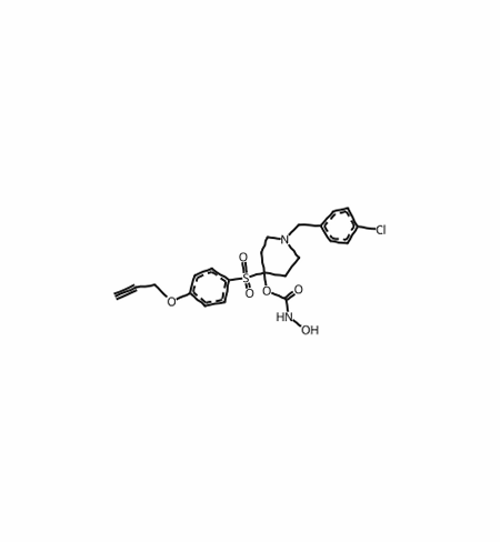 C#CCOc1ccc(S(=O)(=O)C2(OC(=O)NO)CCN(Cc3ccc(Cl)cc3)CC2)cc1